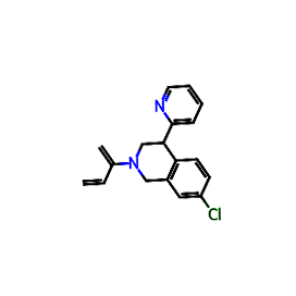 C=CC(=C)N1Cc2cc(Cl)ccc2C(c2ccccn2)C1